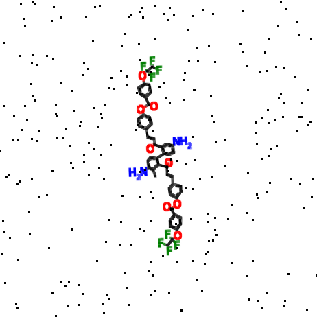 Cc1c(N)ccc(-c2ccc(N)cc2C(=O)/C=C/c2ccc(OC(=O)c3ccc(OC(F)(F)C(F)F)cc3)cc2)c1C(=O)/C=C/c1ccc(OC(=O)c2ccc(OC(F)(F)C(F)F)cc2)cc1